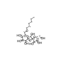 CCCCCCOC[C@H]1O[C@H](O[C@]2(CO)O[C@H](CO)[C@@H](O)[C@@H]2O)[C@H](O)[C@@H](O)[C@@H]1O